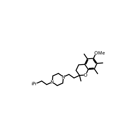 COc1c(C)c(C)c2c(c1C)CCC(C)(CCN1CCN(CCC(C)C)CC1)O2